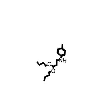 CCCCOC(CCNc1ccc(C)cc1)OCCCC